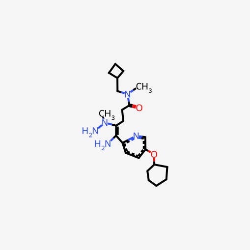 CN(CC1CCC1)C(=O)CC/C(=C(/N)c1ccc(OC2CCCCC2)cn1)N(C)N